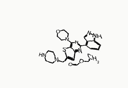 CCOC=O.c1cc(-c2nc(N3CCOCC3)c3sc(CN4CCNCC4)cc3n2)c2cn[nH]c2c1